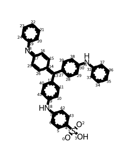 O=S(=O)(O)c1ccc(Nc2ccc(C(=C3C=CC(=Nc4ccccc4)C=C3)c3ccc(Nc4ccccc4)cc3)cc2)cc1